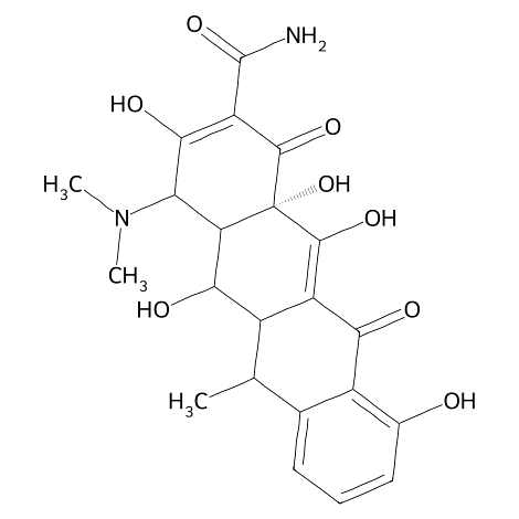 CC1c2cccc(O)c2C(=O)C2=C(O)[C@]3(O)C(=O)C(C(N)=O)=C(O)C(N(C)C)C3C(O)C21